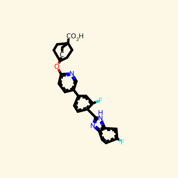 O=C(O)C12CCC(Oc3ccc(-c4ccc(-c5nc6ccc(F)cc6[nH]5)c(F)c4)cn3)(CC1)CC2